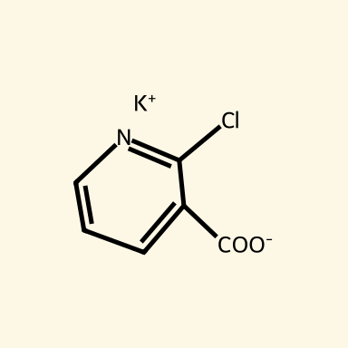 O=C([O-])c1cccnc1Cl.[K+]